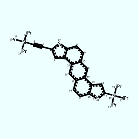 CC(C)[Si](C#Cc1cc2c(ccc3cc4c(ccc5sc([Si](C(C)C)(C(C)C)C(C)C)cc54)cc32)s1)(C(C)C)C(C)C